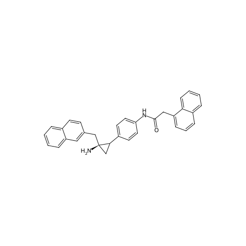 N[C@]1(Cc2ccc3ccccc3c2)CC1c1ccc(NC(=O)Cc2cccc3ccccc23)cc1